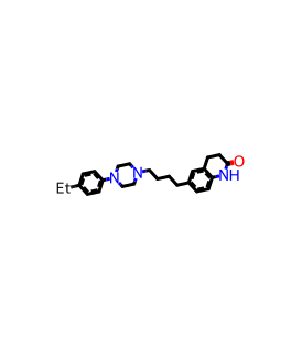 CCc1ccc(N2CCN(CCCCc3ccc4c(c3)CCC(=O)N4)CC2)cc1